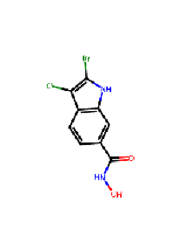 O=C(NO)c1ccc2c(Cl)c(Br)[nH]c2c1